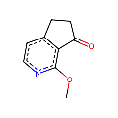 COc1nccc2c1C(=O)CC2